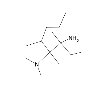 CCCC(C)C(C)(N(C)C)C(C)(N)CC